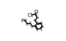 O=C(Cl)CCc1ccccc1CCCCF